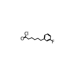 O=C(Cl)CCCCCc1cccc(F)c1